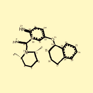 C[C@@H]1CCC[C@H](C)N1C(=N)n1cc(O[C@@H]2CCCc3ccccc32)ccc1=N